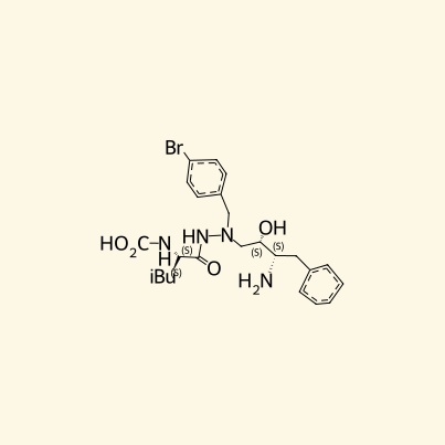 CC[C@H](C)[C@H](NC(=O)O)C(=O)NN(Cc1ccc(Br)cc1)C[C@H](O)[C@@H](N)Cc1ccccc1